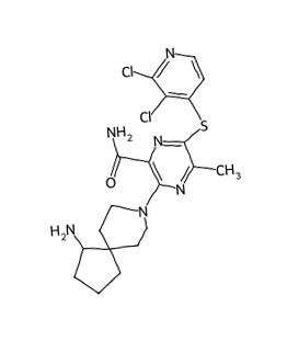 Cc1nc(N2CCC3(CCCC3N)CC2)c(C(N)=O)nc1Sc1ccnc(Cl)c1Cl